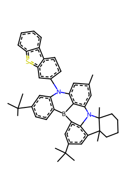 Cc1cc2c3c(c1)N1c4c(cc(C(C)(C)C)cc4C4(C)CCCCC14C)B3c1ccc(C(C)(C)C)cc1N2c1ccc2c(c1)sc1ccccc12